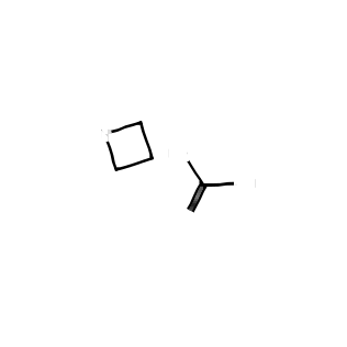 C1CNC1.O=C(O)O